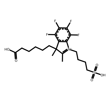 CC1=[N+](CCCCS(=O)(=O)O)c2c(F)c(F)c(F)c(F)c2C1(C)CCCCCC(=O)O